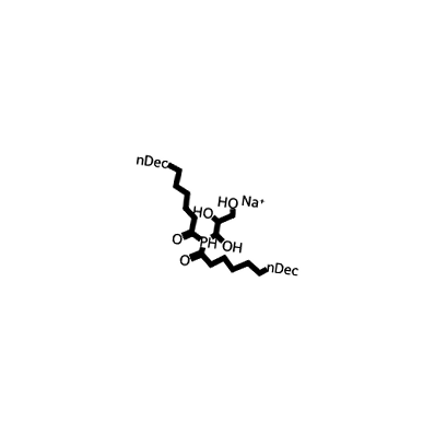 CCCCCCCCCCCCCCCC(=O)[PH-](C(=O)CCCCCCCCCCCCCCC)C(O)C(O)CO.[Na+]